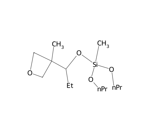 CCCO[Si](C)(OCCC)OC(CC)C1(C)COC1